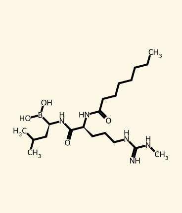 CCCCCCCC(=O)N[C@@H](CCCNC(=N)NC)C(=O)N[C@@H](CC(C)C)B(O)O